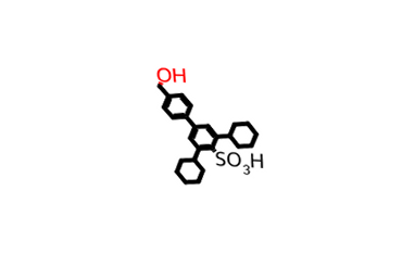 O=S(=O)(O)c1c(C2CCCCC2)cc(-c2ccc(CO)cc2)cc1C1CCCCC1